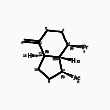 C=C1CC[C@@H](C(C)C)[C@@H]2[C@@H](C(C)=O)CC[C@@H]12